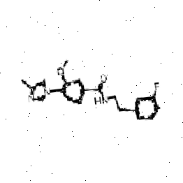 COc1cc(C(=O)NCCc2cccc(F)c2)ccc1-n1cnc(C)c1